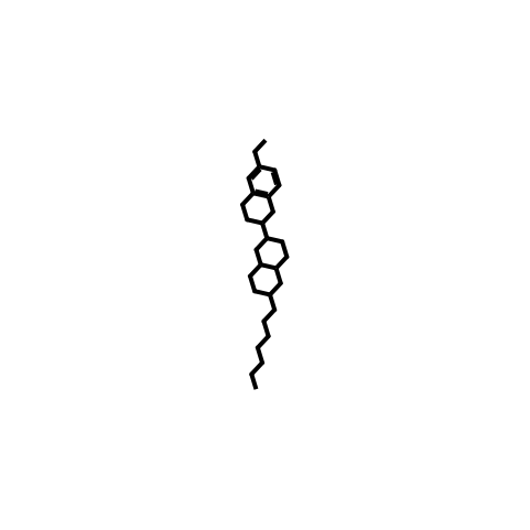 CCCCCCCC1CCC2CC(C3CCc4cc(CC)ccc4C3)CCC2C1